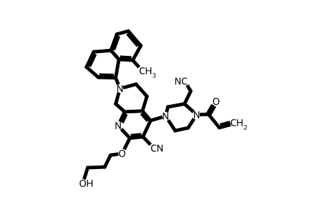 C=CC(=O)N1CCN(c2c(C#N)c(OCCCO)nc3c2CCN(c2cccc4cccc(C)c24)C3)CC1CC#N